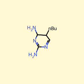 CCCCC1C=NC(N)=NC1N